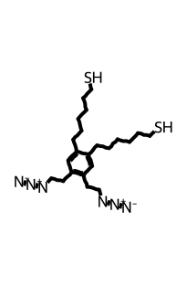 [N-]=[N+]=NCCc1cc(CCCCCCS)c(CCCCCCS)cc1CCN=[N+]=[N-]